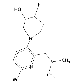 CC(C)c1ccc(N2CCC(F)C(O)C2)c(CN(C)C)n1